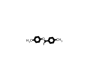 Cc1ccc(OC(F)c2ccc(C)cc2)cc1